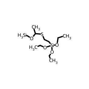 CCO[Si](CCSC(C)O[SiH3])(OCC)OCC